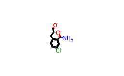 NC(=O)c1cc(Cl)ccc1C[CH]C=O